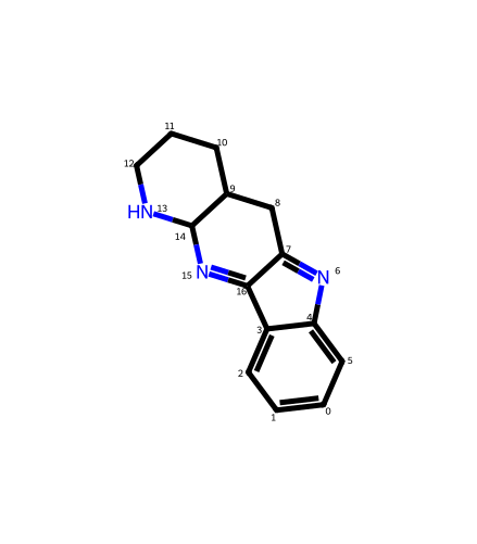 c1ccc2c(c1)N=C1CC3CCCNC3N=C12